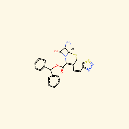 NC1C(=O)N2C(C(=O)OC(c3ccccc3)c3ccccc3)=C(/C=C\c3csnn3)CS[C@H]12